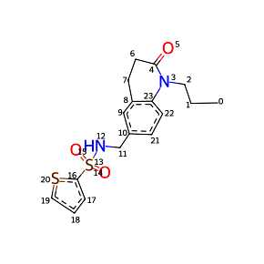 CCCN1C(=O)CCc2cc(CNS(=O)(=O)c3cccs3)ccc21